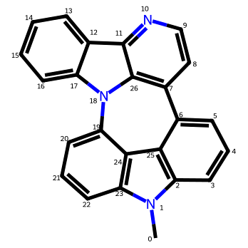 Cn1c2cccc3c4ccnc5c6ccccc6n(c6cccc1c6c32)c45